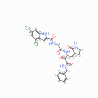 O=C(CNC(=O)c1cc2c(Cl)cc(Cl)cc2[nH]1)NC(CC1CCNC1=O)C(=O)C(=O)NCc1ccccc1